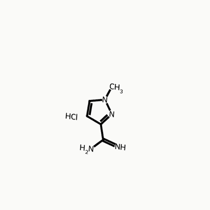 Cl.Cn1ccc(C(=N)N)n1